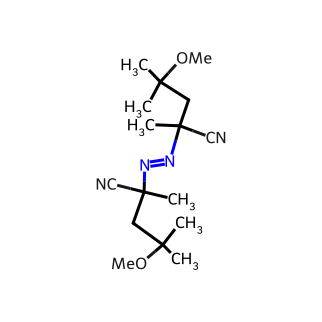 COC(C)(C)CC(C)(C#N)/N=N/C(C)(C#N)CC(C)(C)OC